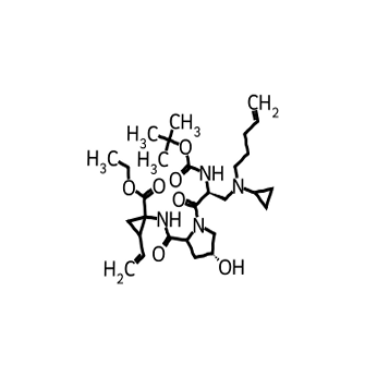 C=CCCCN(C[C@H](NC(=O)OC(C)(C)C)C(=O)N1C[C@H](O)CC1C(=O)NC1(C(=O)OCC)CC1C=C)C1CC1